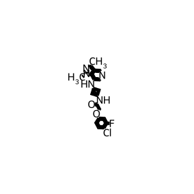 Cc1nn(C)c2c(NC34CC(NC(=O)COc5ccc(Cl)c(F)c5)(C3)C4)cncc12